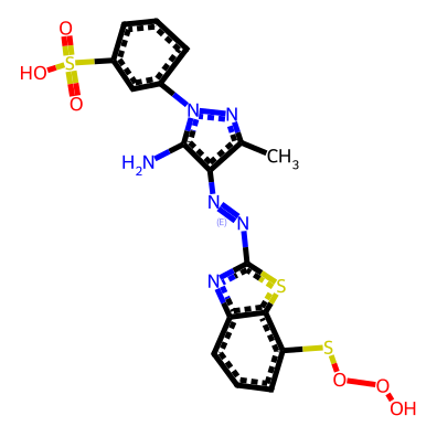 Cc1nn(-c2cccc(S(=O)(=O)O)c2)c(N)c1/N=N/c1nc2cccc(SOOO)c2s1